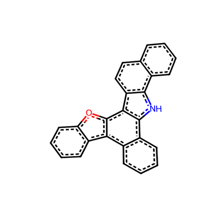 c1ccc2c(c1)ccc1c2[nH]c2c3ccccc3c3c4ccccc4oc3c12